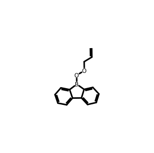 C=CCOOB1c2ccccc2-c2ccccc21